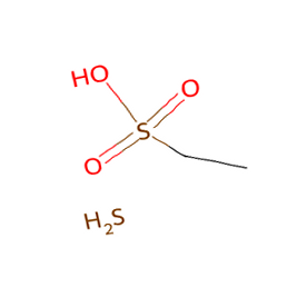 CCS(=O)(=O)O.S